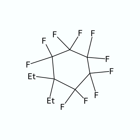 CCC1(CC)C(F)(F)C(F)(F)C(F)(F)C(F)(F)C1(F)F